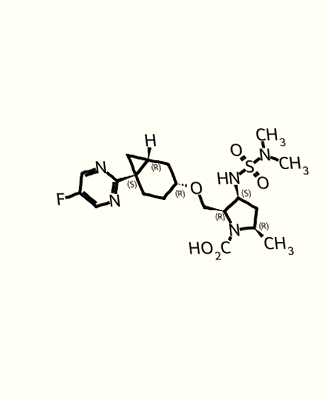 C[C@@H]1C[C@H](NS(=O)(=O)N(C)C)[C@H](CO[C@@H]2CC[C@]3(c4ncc(F)cn4)C[C@@H]3C2)N1C(=O)O